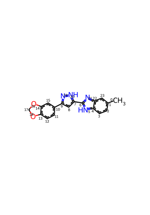 Cc1ccc2[nH]c(-c3cc(-c4ccc5c(c4)OCO5)n[nH]3)nc2c1